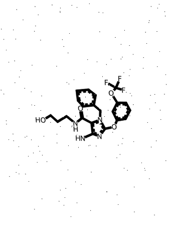 CNc1nc(Oc2cccc(OC(F)(F)F)c2)n(Cc2ccccc2)c1C(=O)NCCCO